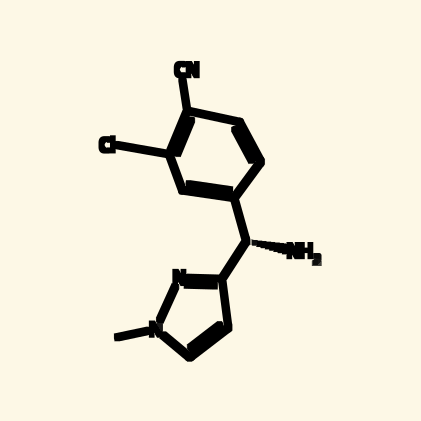 Cn1ccc([C@@H](N)c2ccc(C#N)c(Cl)c2)n1